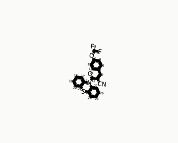 N#C/C(=C/c1ccc(OC(F)F)cc1)C(=O)N1c2ccccc2Sc2ccccc21